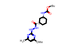 COc1cc(C)nc(NNC(=O)[C@H]2CCC[C@@H](NC(=O)OC(C)(C)C)C2)n1